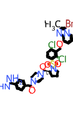 Cc1nc2c(OCc3c(Cl)ccc(S(=O)(=O)N4CCC[C@H]4C(=O)N4CCN(C(=O)c5ccc(C(=N)N)cc5)CC4)c3Cl)cccn2c1Br